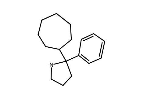 c1ccc(C2(C3CCCCCC3)CCC[N]2)cc1